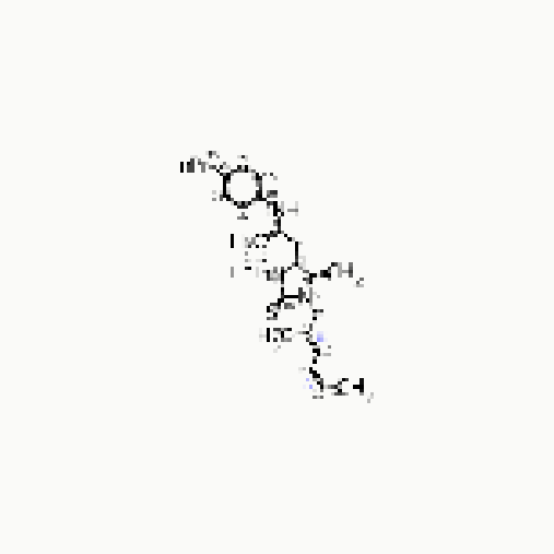 C=C(CC1C(=C)N(C/C(C)=C/C=C\C)C(=S)N1CCC)Nc1ccc(CCC)cc1